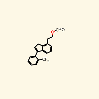 O=COCCc1cccc2c1CC=C2c1ccccc1C(F)(F)F